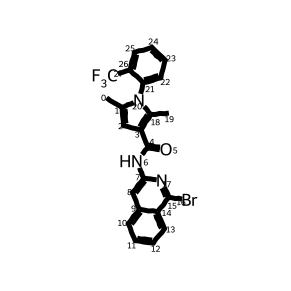 Cc1cc(C(=O)Nc2cc3ccccc3c(Br)n2)c(C)n1-c1ccccc1C(F)(F)F